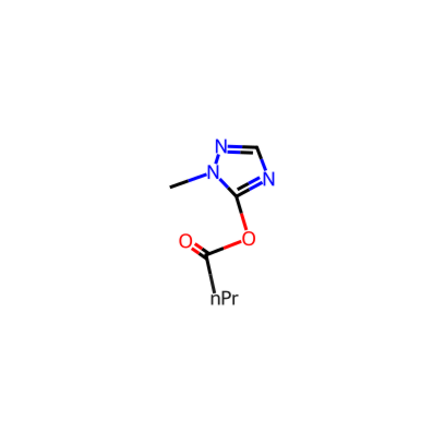 CCCC(=O)Oc1ncnn1C